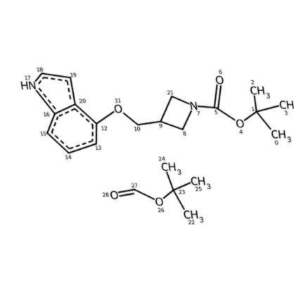 CC(C)(C)OC(=O)N1CC(COc2cccc3[nH]ccc23)C1.CC(C)(C)OC=O